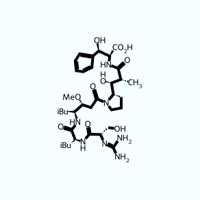 CC[C@H](C)[C@H](NC(=O)[C@@H](NC(=O)[C@H](CO)N=C(N)N)[C@@H](C)CC)[C@@H](CC(=O)N1CCC[C@H]1[C@H](O)[C@@H](C)C(=O)N[C@H](C(=O)O)[C@H](O)c1ccccc1)OC